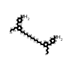 CCCCc1cc(CCCCCCCCCCCCCc2ccc(Cc3ccc(N)cc3)c(CCCC)c2)ccc1Cc1ccc(N)cc1